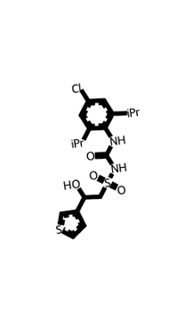 CC(C)c1cc(Cl)cc(C(C)C)c1NC(=O)NS(=O)(=O)CC(O)c1ccsc1